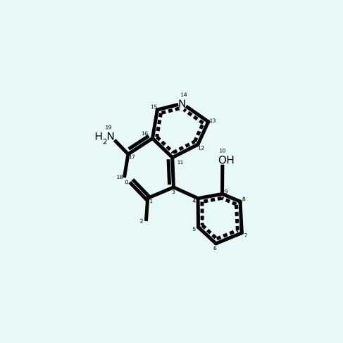 C=C(C)/C(c1ccccc1O)=c1/ccnc/c1=C(/C)N